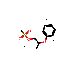 CC(COS(C)(=O)=O)Oc1ccccc1